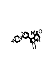 COc1ccnc2[nH]cc(-c3ccnc(N4CCN(C)CC4)c3)c12